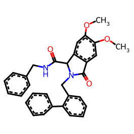 COc1cc2c(cc1OC)C(C(=O)NCc1ccccc1)N(Cc1ccccc1-c1ccccc1)C2=O